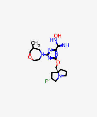 CC1COCCN(c2nc(OC[C@@]34CCCN3C[C@H](F)C4)nc(C(=N)NO)n2)C1